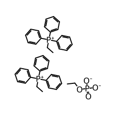 CCOP(=O)([O-])[O-].CC[P+](c1ccccc1)(c1ccccc1)c1ccccc1.CC[P+](c1ccccc1)(c1ccccc1)c1ccccc1